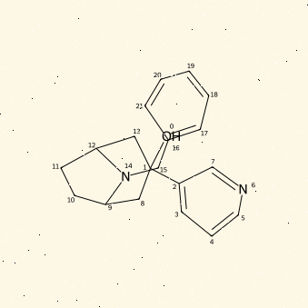 OC1(c2cccnc2)CC2CCC(C1)N2Cc1ccccc1